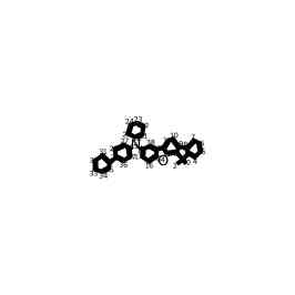 CC1(C)c2ccccc2-c2ccc3c(oc4ccc(N(c5ccccc5)c5ccc(-c6ccccc6)cc5)cc43)c21